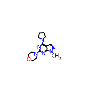 Cn1ncc2c(N3CCCC3)nc(N3CCOCC3)nc21